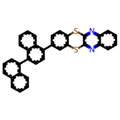 c1ccc2c(-c3ccc(-c4ccc5c(c4)Sc4nc6ccccc6nc4S5)c4ccccc34)cccc2c1